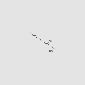 CCCCCCCCCC(O)CCC(C)O